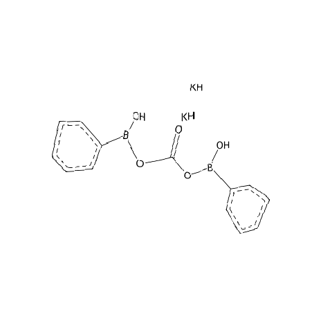 O=C(OB(O)c1ccccc1)OB(O)c1ccccc1.[KH].[KH]